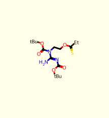 CCC(=S)OCCN(C(=O)OC(C)(C)C)C(N)=NC(=O)OC(C)(C)C